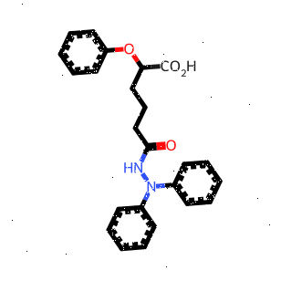 O=C(CCCC(Oc1ccccc1)C(=O)O)NN(c1ccccc1)c1ccccc1